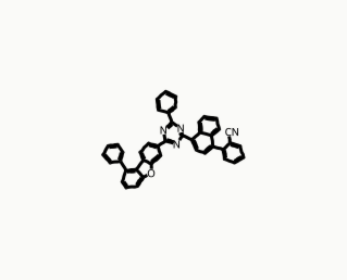 N#Cc1ccccc1-c1ccc(-c2nc(-c3ccccc3)nc(-c3ccc4c(c3)oc3cccc(-c5ccccc5)c34)n2)c2ccccc12